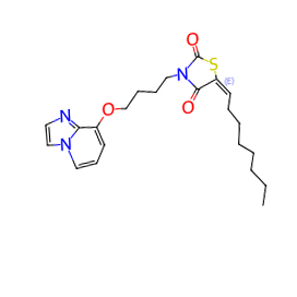 CCCCCCC/C=C1/SC(=O)N(CCCCOc2cccn3ccnc23)C1=O